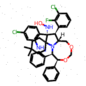 CC1(C)CCC2(CC1)N1[C@H](c3ccccc3)[C@H](c3ccccc3)OCOC[C@H]1[C@H](c1cccc(Cl)c1F)[C@]2(NO)c1ccc(Cl)cc1N